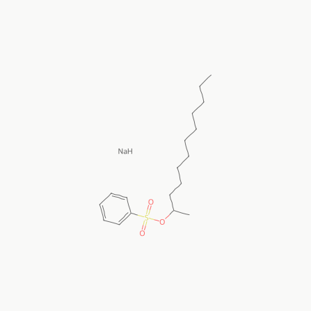 CCCCCCCCCCC(C)OS(=O)(=O)c1ccccc1.[NaH]